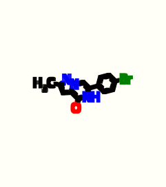 Cc1cc2c(=O)[nH]c(-c3ccc(Br)cc3)cn2n1